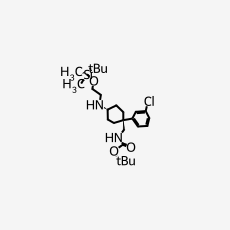 CC(C)(C)OC(=O)NC[C@]1(c2cccc(Cl)c2)CC[C@@H](NCCO[Si](C)(C)C(C)(C)C)CC1